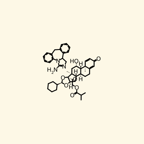 CC(C)C(=O)OCC(=O)[C@@]12O[C@H](C3CCCCC3)O[C@@H]1C[C@H]1[C@@H]3CCC4=CC(=O)C=C[C@]4(C)[C@H]3[C@@H](O)C[C@@]12C.NC1=NCC2c3ccccc3Cc3ccccc3N12